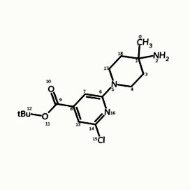 CC1(N)CCN(c2cc(C(=O)OC(C)(C)C)cc(Cl)n2)CC1